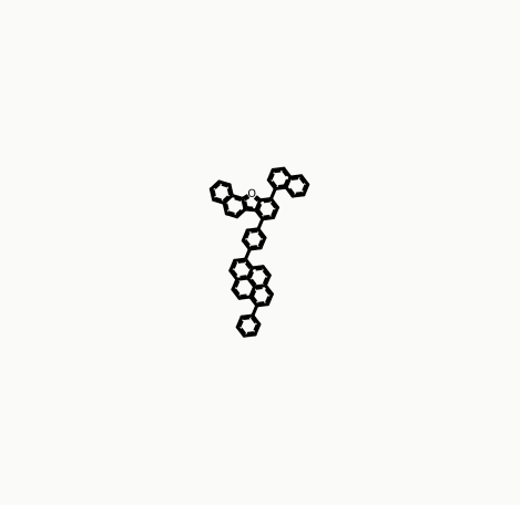 c1ccc(-c2ccc3ccc4c(-c5ccc(-c6ccc(-c7cccc8ccccc78)c7oc8c9ccccc9ccc8c67)cc5)ccc5ccc2c3c54)cc1